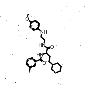 COc1ccc(NCCNC(=O)C(CCC2CCCCC2)NC(=O)c2cccc(C)c2)cc1